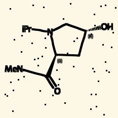 CNC(=O)[C@@H]1C[C@@H](O)CN1C(C)C